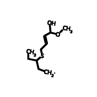 [CH2]CC(CC)SCC=CC(O)OC